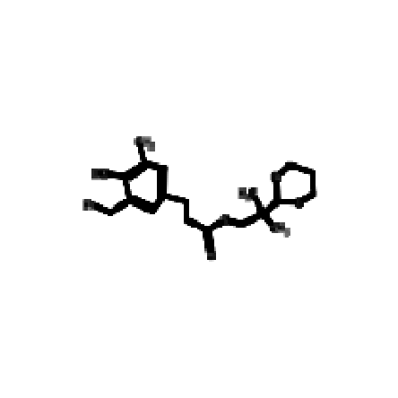 Cc1cc(CCC(=O)OCC(C)(C)C2OCCCO2)cc(CC(C)C)c1O